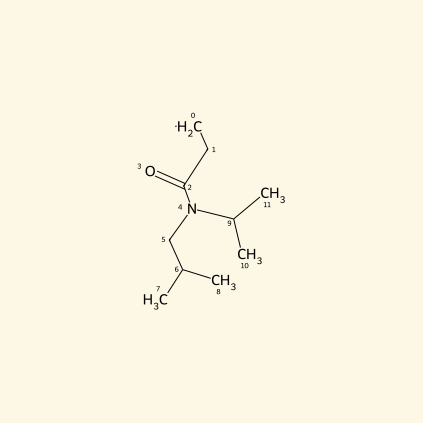 [CH2]CC(=O)N(CC(C)C)C(C)C